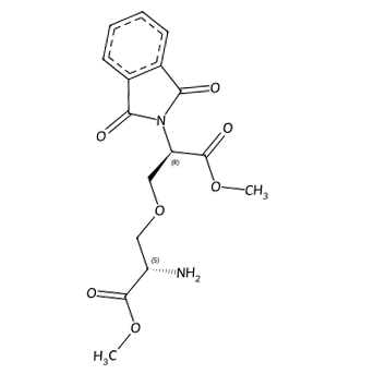 COC(=O)[C@@H](COC[C@H](N)C(=O)OC)N1C(=O)c2ccccc2C1=O